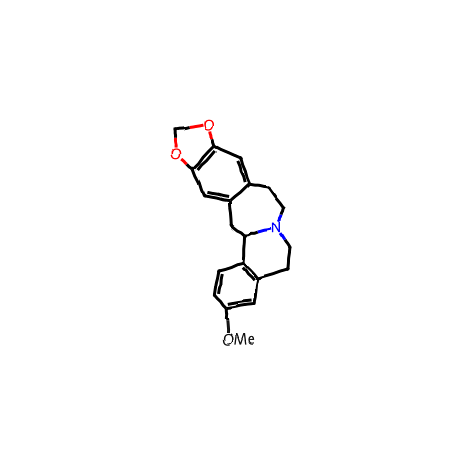 COc1ccc2c(c1)CCN1CCc3cc4c(cc3CC21)OCO4